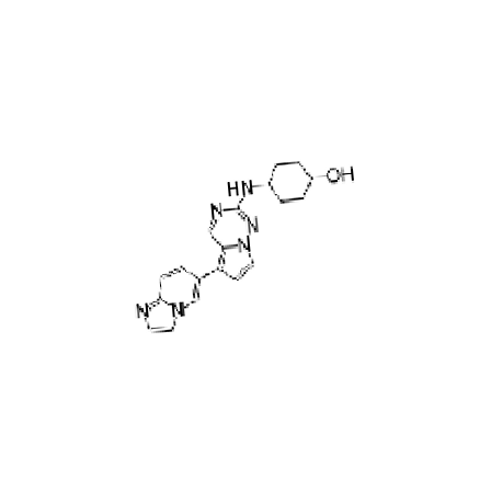 OC1CCC(Nc2ncc3c(-c4ccc5nccn5c4)ccn3n2)CC1